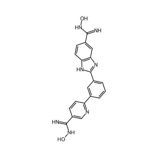 N=C(NO)c1ccc(-c2cccc(-c3nc4cc(C(=N)NO)ccc4[nH]3)c2)nc1